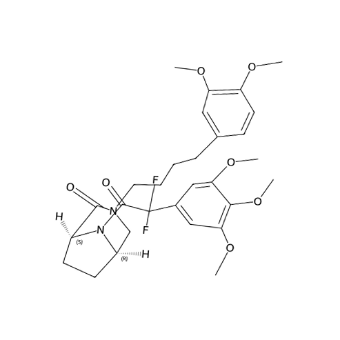 COc1ccc(CCCCN2C[C@H]3CC[C@@H](C2=O)N3C(=O)C(F)(F)c2cc(OC)c(OC)c(OC)c2)cc1OC